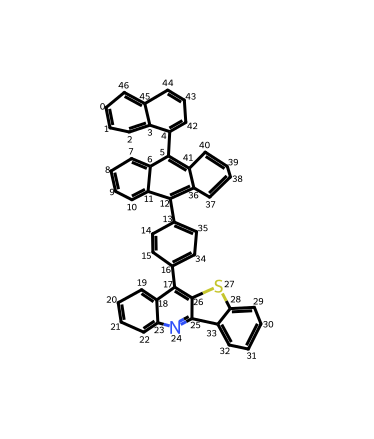 c1ccc2c(-c3c4ccccc4c(-c4ccc(-c5c6ccccc6nc6c5sc5ccccc56)cc4)c4ccccc34)cccc2c1